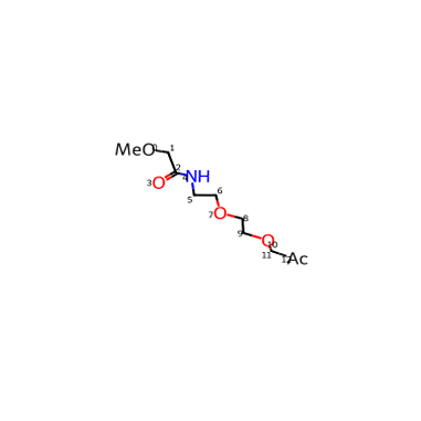 COCC(=O)NCCOCCOCC(C)=O